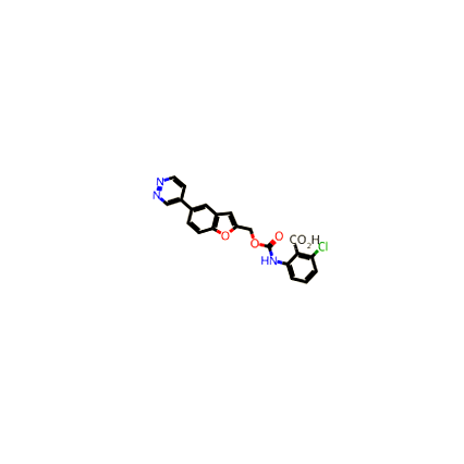 O=C(Nc1cccc(Cl)c1C(=O)O)OCc1cc2cc(-c3ccnnc3)ccc2o1